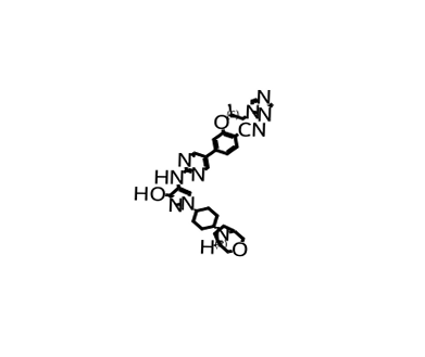 C[C@@H](Cn1cncn1)Oc1cc(-c2cnc(Nc3cn([C@H]4CC[C@H](N5C6CC[C@@H]5COC6)CC4)nc3O)nc2)ccc1C#N